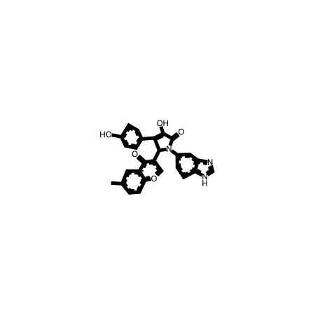 Cc1ccc2occ(C3C(c4ccc(O)cc4)=C(O)C(=O)N3c3ccc4[nH]cnc4c3)c(=O)c2c1